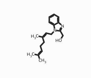 CC(C)=CCCC(C)=CCn1c(CO)nc2ccccc21